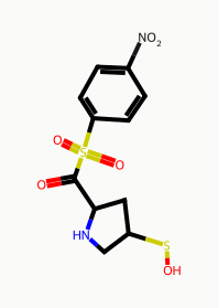 O=C(C1CC(SO)CN1)S(=O)(=O)c1ccc([N+](=O)[O-])cc1